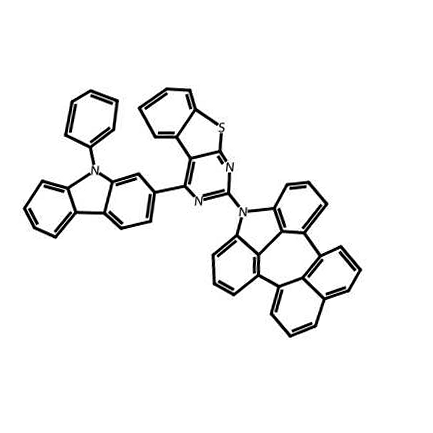 c1ccc(-n2c3ccccc3c3ccc(-c4nc(-n5c6cccc7c6c6c(cccc65)-c5cccc6cccc-7c56)nc5sc6ccccc6c45)cc32)cc1